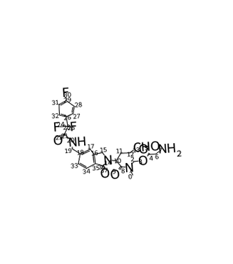 CN(COC(=O)CN)C(=O)C(CCC=O)N1Cc2cc(CNC(=O)C(F)(F)c3ccc(F)cc3)ccc2C1=O